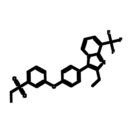 CCc1nc2c(C(F)(F)F)cccn2c1-c1ccc(Oc2cccc(S(=O)(=O)CC)c2)cc1